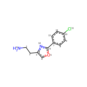 NCCc1coc(-c2ccc(Cl)cc2)n1